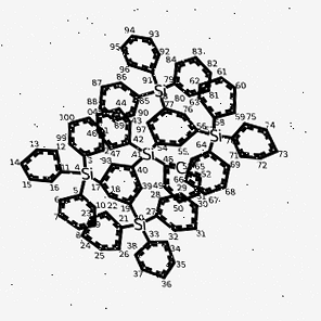 c1ccc([Si](c2ccccc2)(c2ccccc2)c2cc([Si](c3ccccc3)(c3ccccc3)c3ccccc3)cc([Si](c3ccccc3)(c3ccccc3)c3cc([Si](c4ccccc4)(c4ccccc4)c4ccccc4)cc([Si](c4ccccc4)(c4ccccc4)c4ccccc4)c3)c2)cc1